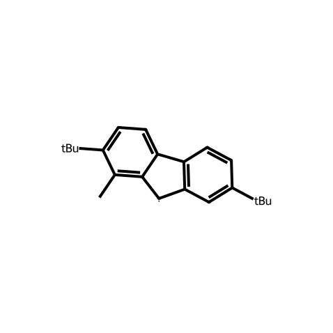 Cc1c(C(C)(C)C)ccc2c1[CH]c1cc(C(C)(C)C)ccc1-2